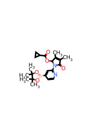 CC1=C(C)C(OC(=O)C2CC2)N(c2cc(B3OC(C)(C)C(C)(C)O3)ccn2)C1=O